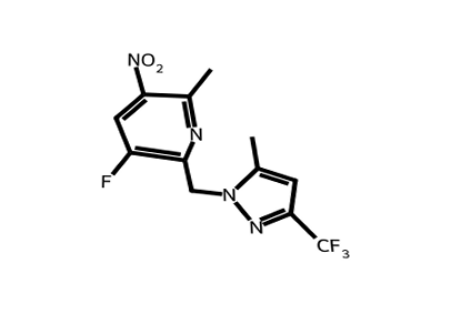 Cc1nc(Cn2nc(C(F)(F)F)cc2C)c(F)cc1[N+](=O)[O-]